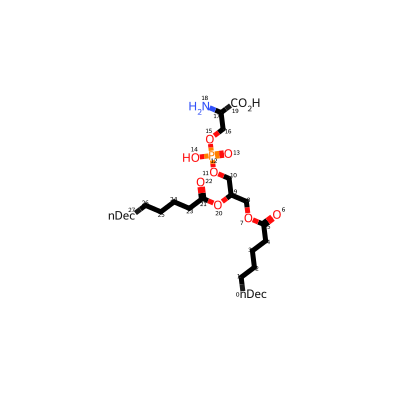 CCCCCCCCCCCCCCC(=O)OCC(COP(=O)(O)OCC(N)C(=O)O)OC(=O)CCCCCCCCCCCCCC